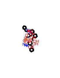 [N-]=[N+]=N[C@@H]1[C@H](OP(=O)(O)O[C@H]2C[C@](O)(Cc3ccccc3)[C@@](O)(N=[N+]=[N-])[C@@H](C(O)Cc3ccccc3)O2)O[C@H](C(O)Cc2ccccc2)[C@@H](O)[C@@]1(O)Cc1ccccc1